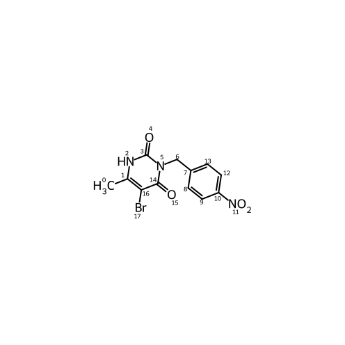 Cc1[nH]c(=O)n(Cc2ccc([N+](=O)[O-])cc2)c(=O)c1Br